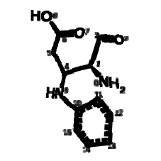 N[C@H](C=O)C(CC(=O)O)Nc1ccccc1